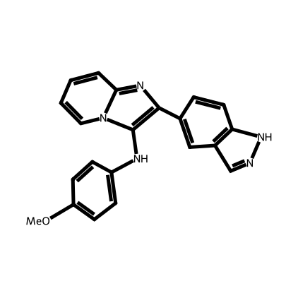 COc1ccc(Nc2c(-c3ccc4[nH]ncc4c3)nc3ccccn23)cc1